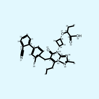 CCCc1c(Cc2ccc(-c3ccccc3C#N)cc2F)c(=O)n([C@H]2C[C@@H](OC(CC)C(=O)O)C2)c2nc(C)nn12